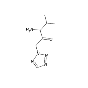 CC(C)C(N)C(=O)Cn1ncnn1